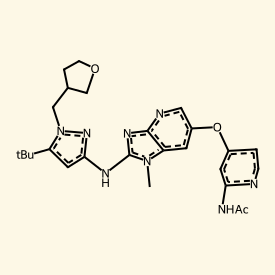 CC(=O)Nc1cc(Oc2cnc3nc(Nc4cc(C(C)(C)C)n(CC5CCOC5)n4)n(C)c3c2)ccn1